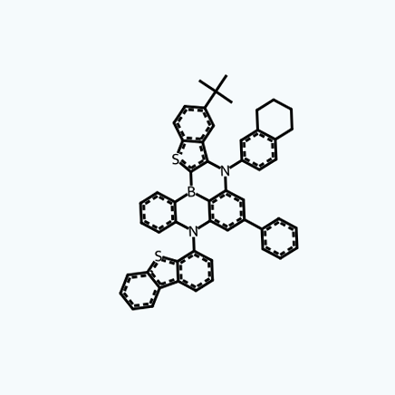 CC(C)(C)c1ccc2sc3c(c2c1)N(c1ccc2c(c1)CCCC2)c1cc(-c2ccccc2)cc2c1B3c1ccccc1N2c1cccc2c1sc1ccccc12